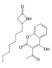 CC(=O)c1c(O)c2ccccc2oc1=O.CCCCCCCC1CC(=O)N1